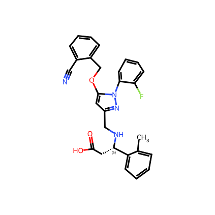 Cc1ccccc1[C@H](CC(=O)O)NCc1cc(OCc2ccccc2C#N)n(-c2ccccc2F)n1